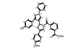 COC(=O)c1cccc(C(=O)N2N=C(c3ccc(OC)cc3)CC2c2cn(-c3ccccc3)nc2-c2ccc(Cl)cc2)c1